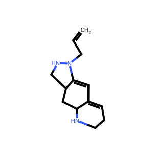 C=CCN1NCC2CC3NCCC=C3C=C21